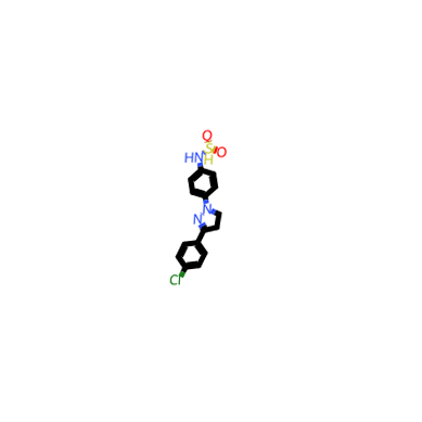 O=[SH](=O)Nc1ccc(N2CCC(c3ccc(Cl)cc3)=N2)cc1